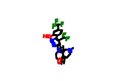 CN1CC[C@@H]2OCCN(c3cc(C(F)F)c(-c4ccc(C(F)(F)F)cc4O)nn3)[C@@H]2C1